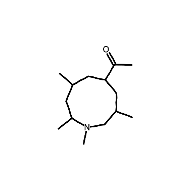 CC(=O)C1CC(C)CC(C)N(C)CC(C)C1